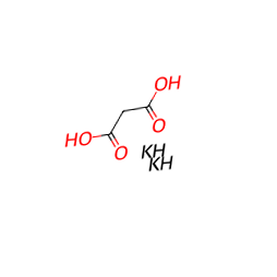 O=C(O)CC(=O)O.[KH].[KH]